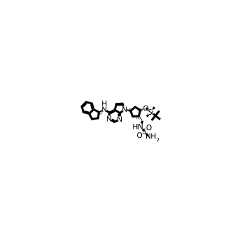 CC(C)(C)[Si](C)(C)O[C@H]1C[C@H](n2ccc3c(N[C@H]4CCc5ccccc54)ncnc32)C[C@H]1CNS(N)(=O)=O